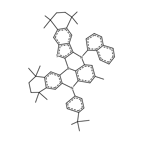 Cc1cc2c3c(c1)N(c1cccc4ccccc14)c1c(sc4cc5c(cc14)C(C)(C)CCC5(C)C)B3c1cc3c(cc1N2c1ccc(C(C)(C)C)cc1)C(C)(C)CCC3(C)C